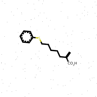 C=C(CCCCCSc1ccccc1)C(=O)O